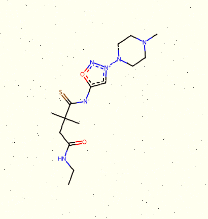 CCNC(=O)CC(C)(C)C(=S)[N-]c1c[n+](N2CCN(C)CC2)no1